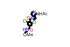 COCCNC(=O)c1cc(Cl)c(C(=O)n2ccc3c(NC(C)=O)nccc32)c(Cl)c1